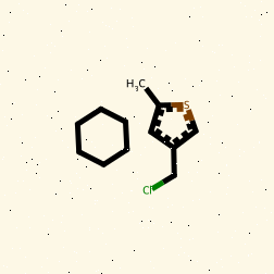 C1CCCCC1.Cc1cc(CCl)cs1